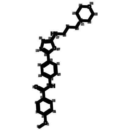 COc1ccc(C(=O)Nc2ccc(-c3nnc(NCCCN4CCOCC4)o3)cc2)cc1